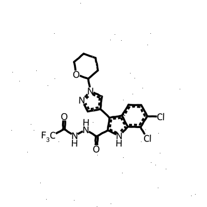 O=C(NNC(=O)C(F)(F)F)c1[nH]c2c(Cl)c(Cl)ccc2c1-c1cnn(C2CCCCO2)c1